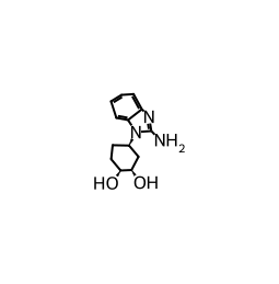 Nc1nc2ccccc2n1[C@@H]1CC[C@H](O)[C@H](O)C1